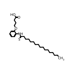 CCCCCCCCCCCCCCCCC(=S)Nc1ccccc1OCCCC(=O)O